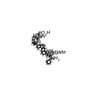 COC[C@H]1C[C@@H](c2nc3ccc4cc5c(cc4c3[nH]2)OCc2cc(-c3cnc([C@@H]4CCCN4C(=O)C(NC(=O)O)C(C)C)[nH]3)ccc2-5)N(C(=O)C(N)c2ccccc2)C1